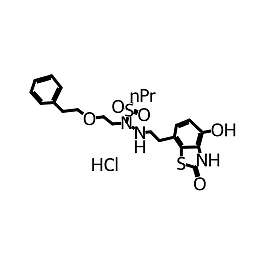 CCCS(=O)(=O)N(CCOCCc1ccccc1)NCCc1ccc(O)c2[nH]c(=O)sc12.Cl